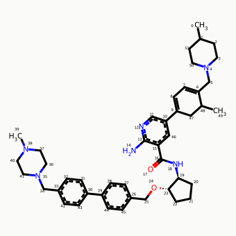 CC1CCN(CC2=CC=C(c3cnc(N)c(C(=O)N[C@H]4CCC[C@@H]4OCc4ccc(-c5ccc(CN6CCN(C)CC6)cc5)cc4)c3)CC2C)CC1